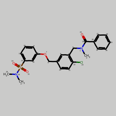 CN(Cc1cc(COc2cccc(S(=O)(=O)N(C)C)c2)ccc1Cl)C(=O)c1ccccc1